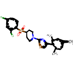 Cc1cc(C)c(-c2csc(N3CCC(S(=O)(=O)c4ccc(F)cc4Cl)CC3)n2)c(C)c1